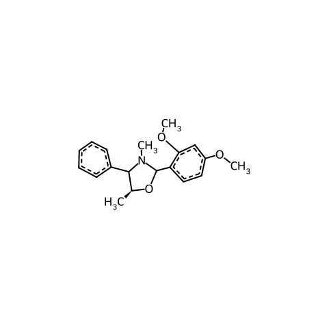 COc1ccc(C2O[C@@H](C)C(c3ccccc3)N2C)c(OC)c1